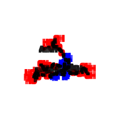 CC(=O)N[C@H]1[C@H](OCCOCCn2cc(CN(CCCC[C@H](C(C)=O)N(Cc3cn(CCOCCO[C@@H]4O[C@H](CO)[C@H](O)[C@H](O)[C@H]4NC(C)=O)nn3)c3cn(CCOCCO[C@@H]4O[C@H](CO)[C@H](O)[C@H](O)[C@H]4NC(C)=O)nn3)Cc3cn(CCOCCO[C@@H]4O[C@H](CO)[C@H](O)[C@H](O)[C@H]4NC(C)=O)nn3)nn2)O[C@H](CO)[C@H](O)[C@@H]1O